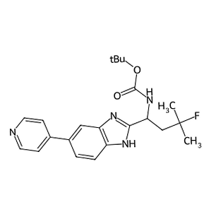 CC(C)(F)CC(NC(=O)OC(C)(C)C)c1nc2cc(-c3ccncc3)ccc2[nH]1